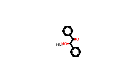 O=C(c1ccccc1)C(O)c1ccccc1.[NaH]